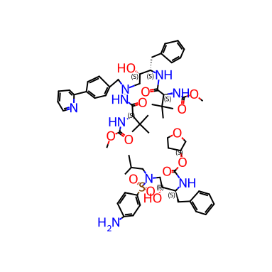 CC(C)CN(C[C@@H](O)[C@H](Cc1ccccc1)NC(=O)O[C@H]1CCOC1)S(=O)(=O)c1ccc(N)cc1.COC(=O)N[C@H](C(=O)N[C@@H](Cc1ccccc1)[C@@H](O)CN(Cc1ccc(-c2ccccn2)cc1)NC(=O)[C@@H](NC(=O)OC)C(C)(C)C)C(C)(C)C